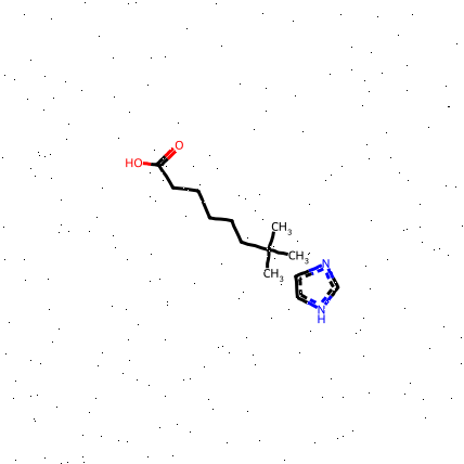 CC(C)(C)CCCCCC(=O)O.c1c[nH]cn1